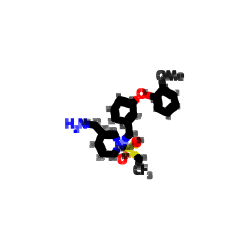 COc1ccccc1Oc1cccc(C[N+]2(S(=O)(=O)CC(F)(F)F)C=C(CN)C=CC2)c1